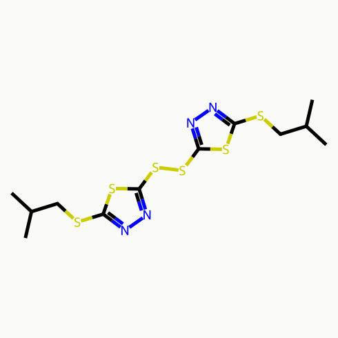 CC(C)CSc1nnc(SSc2nnc(SCC(C)C)s2)s1